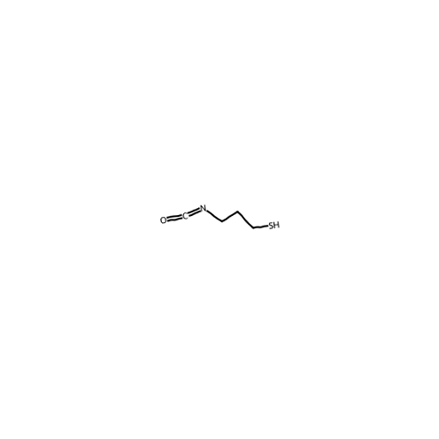 O=C=NCCCS